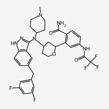 CN1CCC(N(c2n[nH]c3ccc(Cc4cc(F)cc(F)c4)cc23)C2CCOC(c3cc(NC(=O)C(F)(F)F)ccc3C(N)=O)C2)CC1